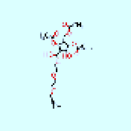 C#CCOCCOCCO[C@@H](O)C1C(O)[C@@H](OC(C)=O)C(COC(C)=O)[C@H]1OC(C)=O